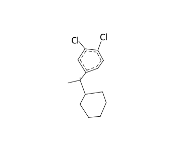 C[C](c1ccc(Cl)c(Cl)c1)C1CCCCC1